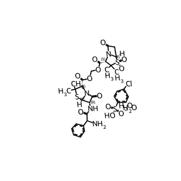 CC1(C)S[C@@H]2[C@H](NC(=O)C(N)c3ccccc3)C(=O)N2[C@H]1C(=O)OCOC(=O)[C@@H]1N2C(=O)C[C@H]2S(=O)(=O)C1(C)C.O.O.O=S(=O)(O)c1ccc(Cl)cc1